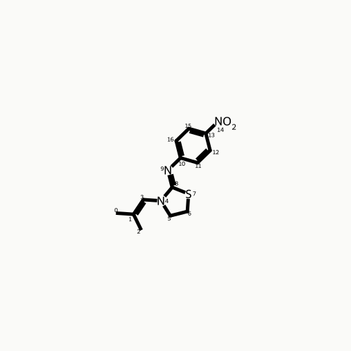 CC(C)=CN1CCS/C1=N\c1ccc([N+](=O)[O-])cc1